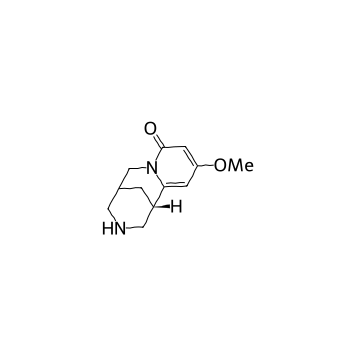 COc1cc2n(c(=O)c1)CC1CNC[C@@H]2C1